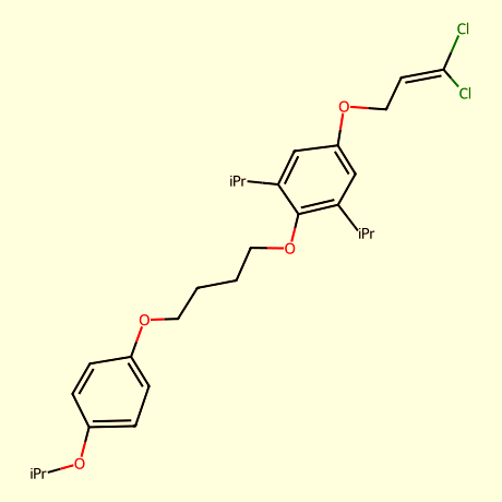 CC(C)Oc1ccc(OCCCCOc2c(C(C)C)cc(OCC=C(Cl)Cl)cc2C(C)C)cc1